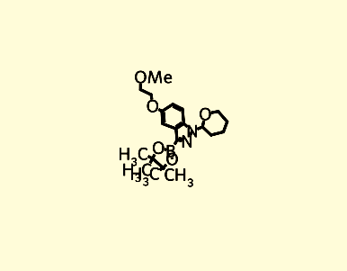 COCCOc1ccc2c(c1)c(B1OC(C)(C)C(C)(C)O1)nn2C1CCCCO1